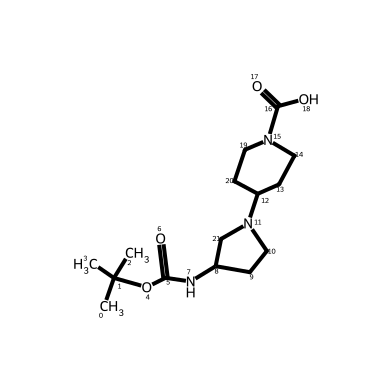 CC(C)(C)OC(=O)NC1CCN(C2CCN(C(=O)O)CC2)C1